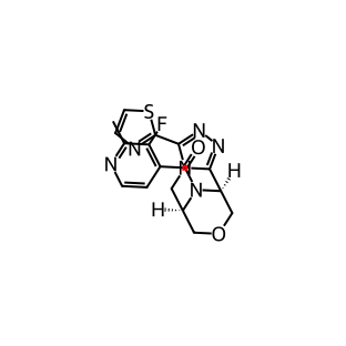 Cc1nccc(C(=O)N2[C@H]3COC[C@@H]2c2nnc(-c4nccs4)n2C3)c1F